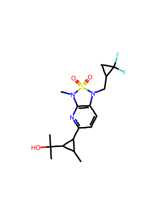 CC1C(c2ccc3c(n2)N(C)S(=O)(=O)N3CC2CC2(F)F)C1C(C)(C)O